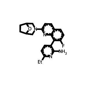 CCc1ccc(-c2c(F)ccc3ccc(N4CC5CCC(C4)O5)nc23)c(N)n1